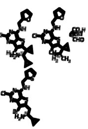 Cc1c(C2([C@@H](N)C3CC3)CC2)sc2c(NCc3ccco3)nc(Cl)nc12.Cc1c(C2([C@H](C)N)CC2)sc2c(NCc3ccco3)nc(Cl)nc12.Cl.Cl.N[C@H](Cc1sc2c(NCc3cccs3)nc(Cl)nc2c1Br)C1CC1.O=COC(=O)O